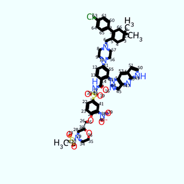 CC1(C)CCC(CN2CCN(c3ccc(C(=O)NS(=O)(=O)c4ccc(OC[C@H]5CN(S(C)(=O)=O)CCO5)c([N+](=O)[O-])c4)c(-n4ncc5nc6[nH]ccc6cc54)c3)CC2)=C(c2ccc(Cl)cc2)C1